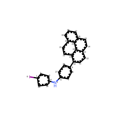 Ic1ccc(Nc2ccc(-c3ccc4ccc5cccc6ccc3c4c56)cc2)cc1